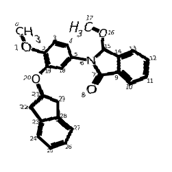 COc1ccc(N2C(=O)c3ccccc3C2OC)cc1OC1Cc2ccccc2C1